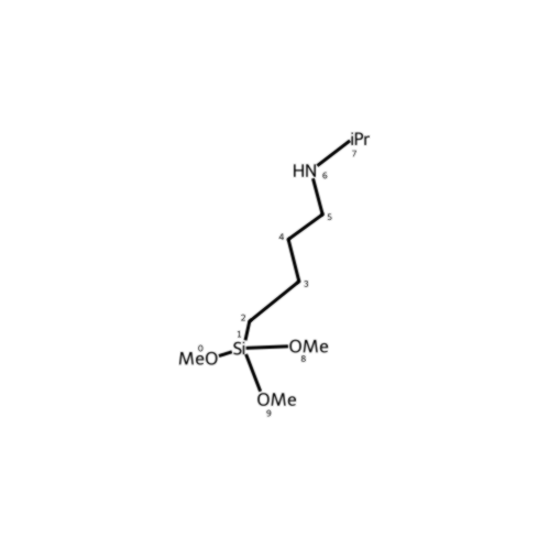 CO[Si](CCCCNC(C)C)(OC)OC